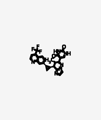 CC1C(c2c[nH]c(=O)[nH]c2=O)=Nn2ccnc2C1[C@H]1C[C@@H]1c1ccc2c(C(F)(F)F)ccnc2c1